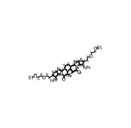 CCCc1c(CCOCCOCC)sc2nc3c4ccc5c6c(sc(c(=O)n3c12)c46)c(=O)n1c5nc2sc(CCOCCOCC)c(CCC)c21